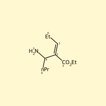 CCC=C(C(=O)OCC)C(N)CCC